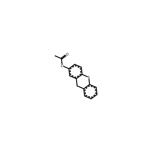 CC(=O)Oc1ccc2c(c1)Cc1ccccc1S2